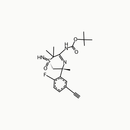 C#Cc1ccc(F)c([C@]2(C)C[S@@](=N)(=O)C(C)(C)C(NC(=O)OC(C)(C)C)=N2)c1